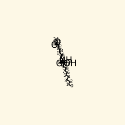 CCCCCCCCCCN(O)C(=O)NCCCCCCC(=O)OC